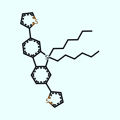 CCCCCC[Si]1(CCCCCC)c2cc(-c3cccs3)ccc2-c2ccc(-c3cccs3)cc21